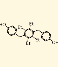 CCc1c(CC)c(Cc2ccc(O)cc2)c(CC)c(CC)c1Cc1ccc(O)cc1